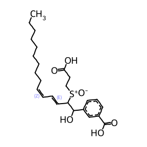 CCCCCCCCC/C=C\C=C\C(C(O)c1cccc(C(=O)O)c1)[S+]([O-])CCC(=O)O